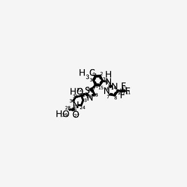 Cc1cc(Nc2nccc(C(F)(F)F)n2)cc(-c2cnc(C3(O)CCN(C(=O)CO)CC3)s2)c1